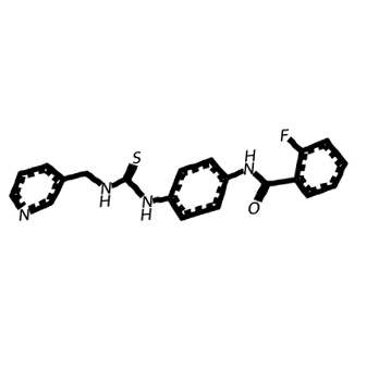 O=C(Nc1ccc(NC(=S)NCc2cccnc2)cc1)c1ccccc1F